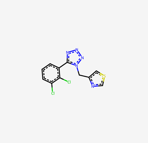 Clc1cccc(-c2nnnn2Cc2cscn2)c1Cl